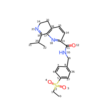 CCS(=O)(=O)c1ccc(CNC(=O)c2ccc3c(n2)C(C(C)C)=NCC3)cc1